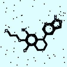 N#Cc1cc2c(c(Cl)c1OCCCl)CCCC2c1cnc2[nH]ncc2c1